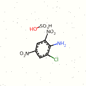 Nc1c(Cl)cc([N+](=O)[O-])cc1[N+](=O)[O-].O=S(=O)(O)O